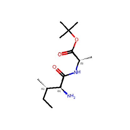 CC[C@H](C)[C@H](N)C(=O)N[C@@H](C)C(=O)OC(C)(C)C